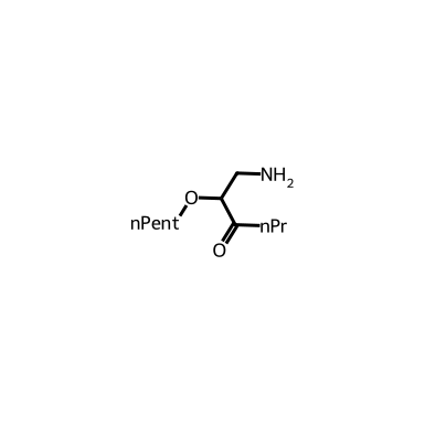 CCCCCOC(CN)C(=O)CCC